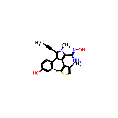 CC#Cc1c(-c2ccc(O)cc2)c(-c2c(C)csc2C)c(/C(N)=N/O)n1C